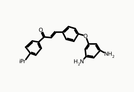 CC(C)c1ccc(C(=O)C=Cc2ccc(Oc3cc(N)cc(N)c3)cc2)cc1